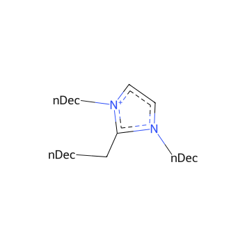 CCCCCCCCCCCc1n(CCCCCCCCCC)cc[n+]1CCCCCCCCCC